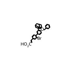 O=C(O)/C=C/c1ccc(-c2ccc(OCc3ccccc3)c(C34CC5CC(CC(C5)C3)C4)c2)c(Br)c1